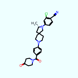 C[C@H]1CC2(CCN(c3ccc(C(=O)N4CCC(=O)CC4)cc3)CC2)CN1c1ccc(C#N)c(Cl)c1